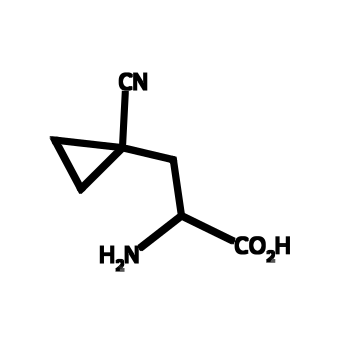 N#CC1(CC(N)C(=O)O)CC1